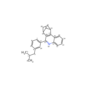 CC(C)Cc1cccc(-c2nc3ccccc3c3c2C2CCC3C2)c1